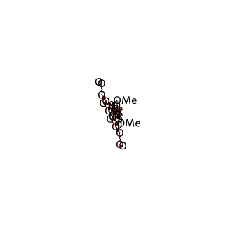 C=CC(=O)OCCCCCCOc1ccc(OC(=O)C2CCC(C(=O)Oc3ccc(OC(=O)C4CCC(C(=O)Oc5ccc(OCCCCCCOC(=O)C=C)cc5)CC4)c(/C=N/N(CCOCCOC)c4nc5ccccc5s4)c3/C=N/N(CCOCCOC)c3nc4ccccc4s3)CC2)cc1